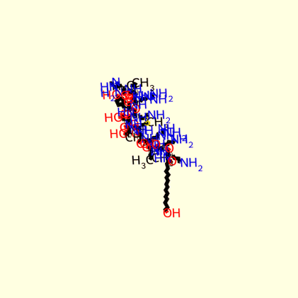 CSCC[C@H](NC(=O)[C@H](CO)NC(=O)[C@H](CCCNC(=N)N)NC(=O)[C@H](CC(C)C)NC(=O)[C@H](CCCCN)NC(=O)[C@H](CCCCN)NC(=O)CCCCCCCCCCCCCCCO)C(=O)N[C@H](C(=O)N[C@@H](CC(=O)O)C(=O)N[C@@H](CCCCN)C(=O)N[C@@H](Cc1ccc(O)cc1)C(=O)N[C@@H](CCCNC(=N)N)C(=O)N[C@@H](CC(C)C)C(=O)N[C@@H](Cc1c[nH]cn1)C(N)=O)[C@@H](C)O